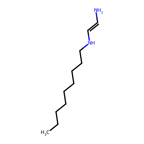 CCCCCCCCCN/C=C/N